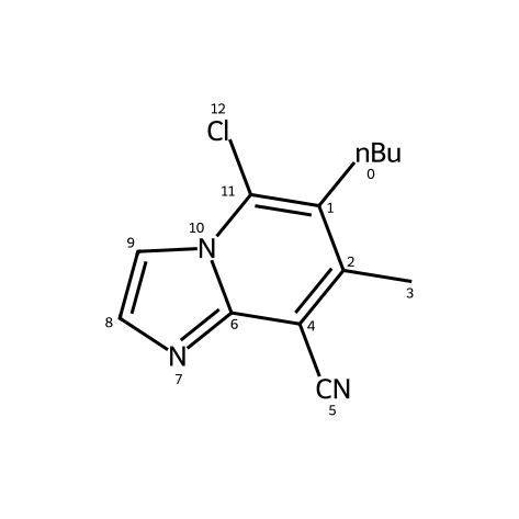 CCCCc1c(C)c(C#N)c2nccn2c1Cl